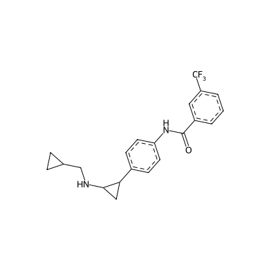 O=C(Nc1ccc(C2CC2NCC2CC2)cc1)c1cccc(C(F)(F)F)c1